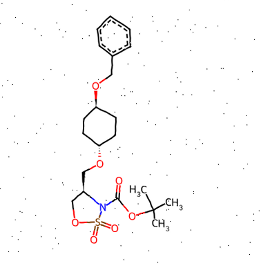 CC(C)(C)OC(=O)N1[C@H](CO[C@H]2CC[C@H](OCc3ccccc3)CC2)COS1(=O)=O